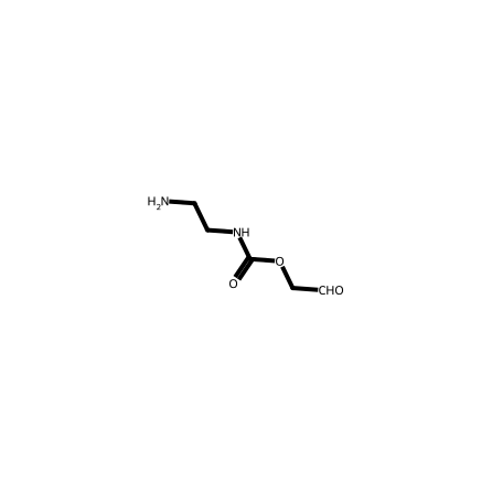 NCCNC(=O)OCC=O